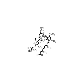 C=C1CC[C@H](O)C/C1=C/C=C1\CCC[C@]2(C)[C@@H]([C@H](C)CCCC(C)(C)O)CC[C@@H]12.COc1cc(C)c(/C=C/C(C)=C/C=C/C(C)=C/C(=O)O)c(C)c1C